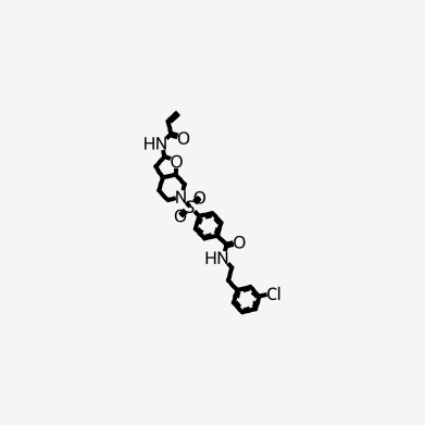 C=CC(=O)NC1CC2CCN(S(=O)(=O)c3ccc(C(=O)NCCc4cccc(Cl)c4)cc3)CC2O1